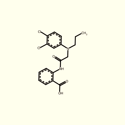 CCCN(CC(=O)Nc1ccccc1C(=O)O)c1ccc(Cl)c(Cl)c1